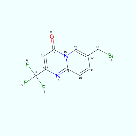 O=c1cc(C(F)(F)F)nc2ccc(CBr)cn12